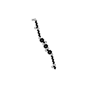 C=CC(=O)OCCCCCCCOc1ccc(C(=O)Oc2ccc(OC(=O)c3ccc(OCCCCCCOC(=O)CCCCCO)cc3)cc2)cc1